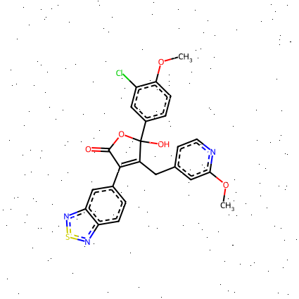 COc1cc(CC2=C(c3ccc4nsnc4c3)C(=O)OC2(O)c2ccc(OC)c(Cl)c2)ccn1